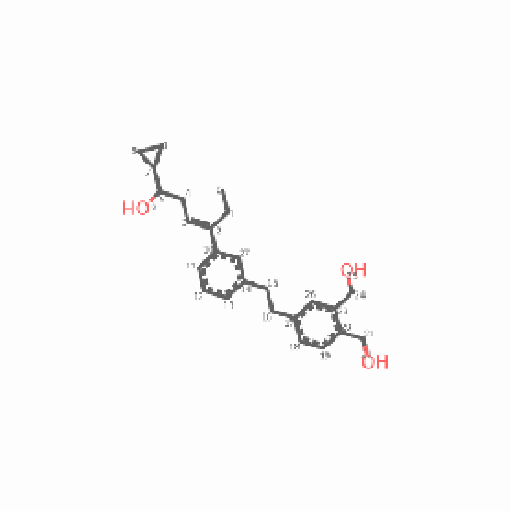 CCC(=CCC(O)C1CC1)c1cccc(CCc2ccc(CO)c(CO)c2)c1